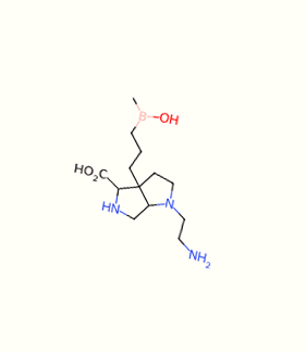 CB(O)CCCC12CCN(CCN)C1CNC2C(=O)O